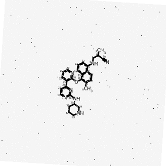 Cc1ccc2c(NCC(C)C#N)cccc2c1Oc1ncccc1-c1ccnc(N[C@H]2CCCNC2)n1